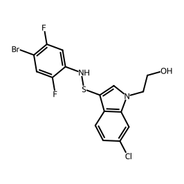 OCCn1cc(SNc2cc(F)c(Br)cc2F)c2ccc(Cl)cc21